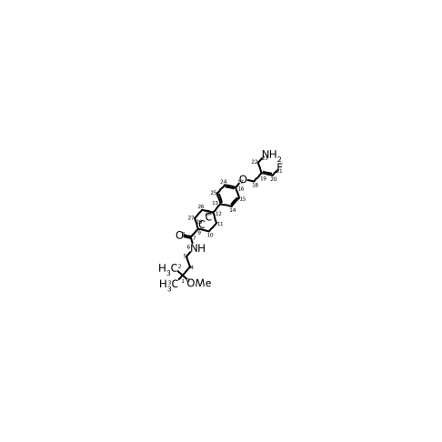 COC(C)(C)CCNC(=O)C12CCC(c3ccc(OC/C(=C/F)CN)cc3)(CC1)CC2